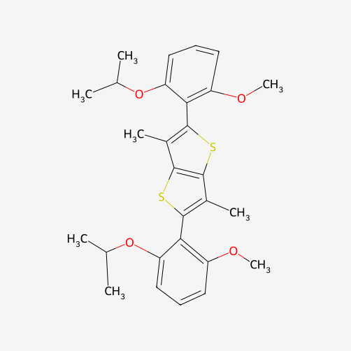 COc1cccc(OC(C)C)c1-c1sc2c(C)c(-c3c(OC)cccc3OC(C)C)sc2c1C